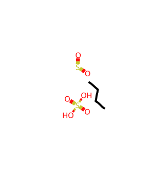 CCCC.O=S(=O)(O)O.O=S=O